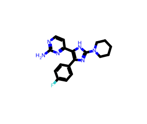 Nc1nccc(-c2[nH]c(N3CCCCC3)nc2-c2ccc(F)cc2)n1